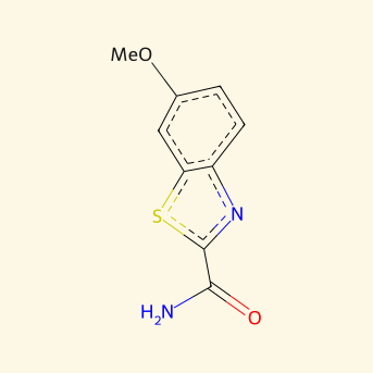 COc1ccc2nc(C(N)=O)sc2c1